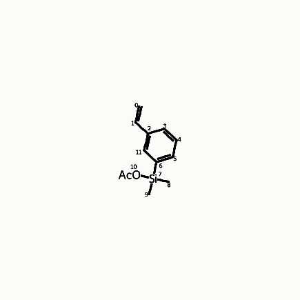 C=Cc1cccc([Si](C)(C)OC(C)=O)c1